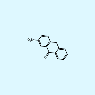 O=C1c2ccccc2Cc2ccc([N+](=O)[O-])cc21